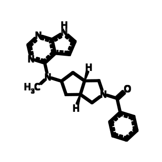 CN(c1ncnc2[nH]ccc12)C1C[C@@H]2CN(C(=O)c3ccccc3)C[C@@H]2C1